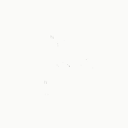 C=CC(=O)N1CC2(CCN(c3nc4cc(OC)ccc4c(-c4c(C)ccc5cn[nH]c45)c3C)C2)C1